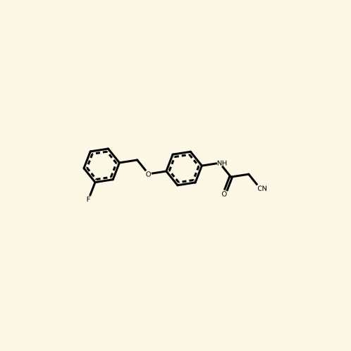 N#CCC(=O)Nc1ccc(OCc2cccc(F)c2)cc1